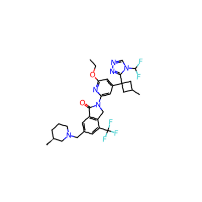 CCOc1cc(C2(c3nncn3C(F)F)CC(C)C2)cc(N2Cc3c(cc(CN4CCC[C@H](C)C4)cc3C(F)(F)F)C2=O)n1